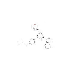 O=C(O)[C@H]1/C(=N/c2cc(-c3ccc(C(O)N4CCCCC4)cc3)nc(-c3c[nH]c4c(F)cc(F)cc34)n2)C2CCC1CC2